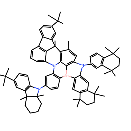 Cc1cc2c3c4c1C1(C)c5cc(C(C)(C)C)ccc5-c5cccc(c51)N4c1cc(N4c5ccc(C(C)(C)C)cc5C5(C)CCCCC45C)ccc1B3c1cc3c(cc1N2c1ccc2c(c1)C(C)(C)CCC2(C)C)C(C)(C)CCC3(C)C